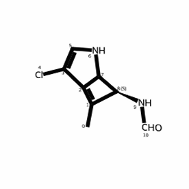 CC1=C2C(Cl)=CNC2[C@H]1NC=O